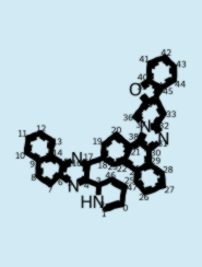 C1=CNC(c2nc3ccc4ccccc4c3nc2-c2ccc3c(c2)c2ccccc2c2nc4cc5c(cn4c32)oc2ccccc25)C=C1